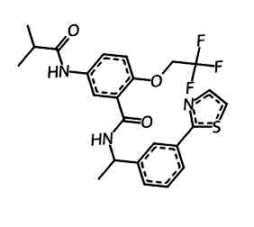 CC(C)C(=O)Nc1ccc(OCC(F)(F)F)c(C(=O)NC(C)c2cccc(-c3nccs3)c2)c1